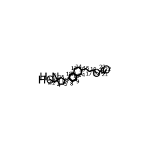 N[C@]1(CO)CC[C@H](c2ccc3c(c2)CCC(CCCOC2COC2)C3)C1